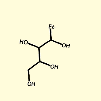 C[CH]C(O)C(O)C(O)CO